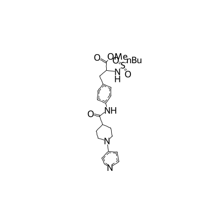 CCCCS(=O)(=O)NC(Cc1ccc(NC(=O)C2CCN(c3ccncc3)CC2)cc1)C(=O)OC